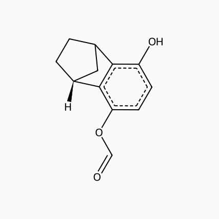 O=COc1ccc(O)c2c1[C@@H]1CCC2C1